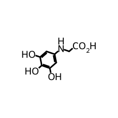 O=C(O)CNc1cc(O)c(O)c(O)c1